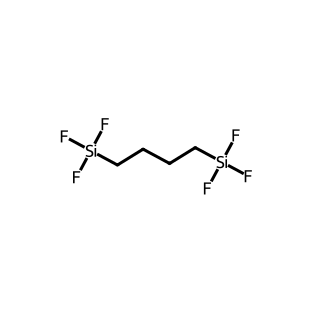 F[Si](F)(F)CCCC[Si](F)(F)F